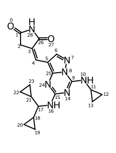 O=C1CC(=Cc2cnn3c(NC4CC4)nc(NC(C4CC4)C4CC4)nc23)C(=O)N1